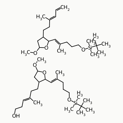 C=C/C=C(\C)CCC1CC(OC)OC1/C=C(\C)CCCO[Si](C)(C)C(C)(C)C.COC1CC(CC/C(C)=C/CCO)C(/C=C(\C)CCCO[Si](C)(C)C(C)(C)C)O1